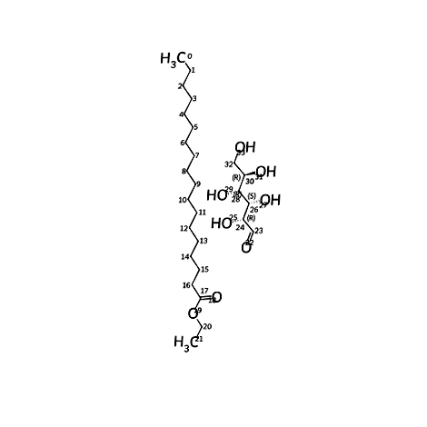 CCCCCCCCCCCCCCCCCC(=O)OCC.O=C[C@H](O)[C@@H](O)[C@H](O)[C@H](O)CO